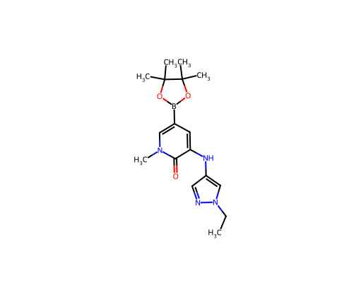 CCn1cc(Nc2cc(B3OC(C)(C)C(C)(C)O3)cn(C)c2=O)cn1